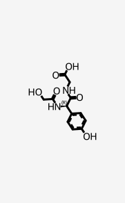 O=C(O)CNC(=O)[C@H](NC(=O)CO)c1ccc(O)cc1